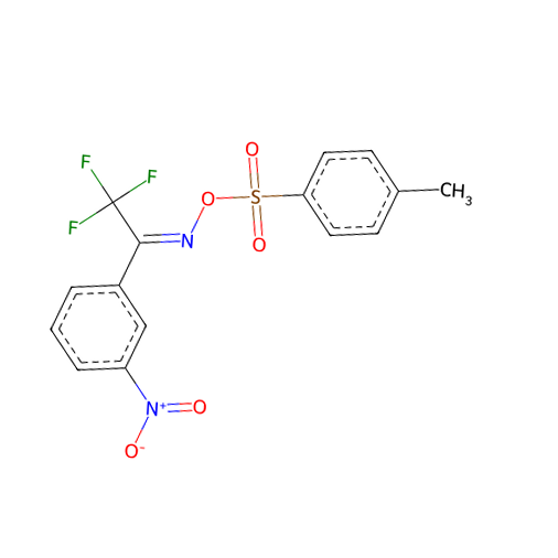 Cc1ccc(S(=O)(=O)ON=C(c2cccc([N+](=O)[O-])c2)C(F)(F)F)cc1